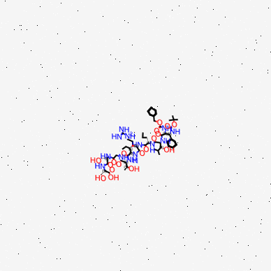 CCC[C@H](NC(=O)C(NC(=O)[C@@H](NC(=O)OCc1ccccc1)[C@H](NC(=O)OC(C)(C)C)c1ccccc1)[C@H](O)C(C)C)C(=O)N[C@H](CCCNC(=N)N)C(=O)N[C@H](C(=O)N[C@H](C(=O)NCC(=O)N[C@@H](CO)C(=O)N[C@@H](CO)C(=O)O)[C@H](C)O)[C@@H](C)CC